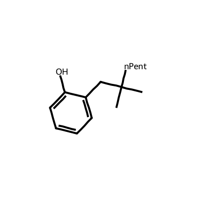 CCCCCC(C)(C)Cc1ccccc1O